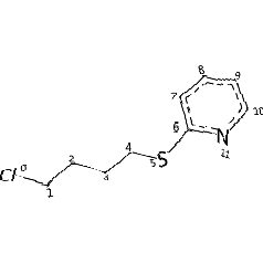 ClCCCCSc1ccccn1